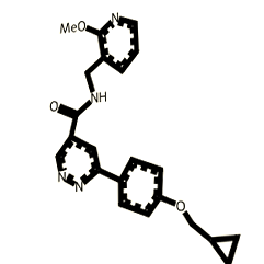 COc1ncccc1CNC(=O)c1cnnc(-c2ccc(OCC3CC3)cc2)c1